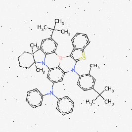 Cc1cc(C(C)(C)C)ccc1N1c2cc(N(c3ccccc3)c3ccccc3)cc3c2B(c2cc(C(C)(C)C)cc4c2N3C2(C)CCCCC42C)c2c1sc1ccccc21